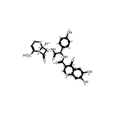 O=C(O)C1=CCS[C@H]2[C@H](NC(=O)C(NC(=O)c3coc4cc(O)c(O)cc4c3=O)c3ccc(O)cc3)C(=O)N12